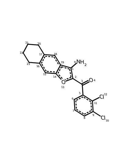 Nc1c(C(=O)c2cccc(Cl)c2Cl)oc2cc3c(cc12)CCCC3